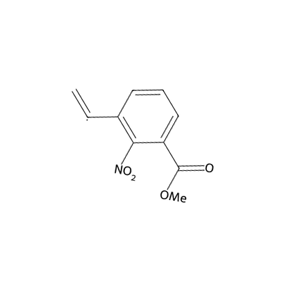 C=[C]c1cccc(C(=O)OC)c1[N+](=O)[O-]